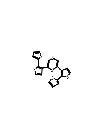 C1=C(c2ccsc2-c2cccs2)SC(c2ccsc2-c2cccs2)=CS1